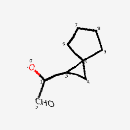 [O]C(C=O)C1CC12CCCC2